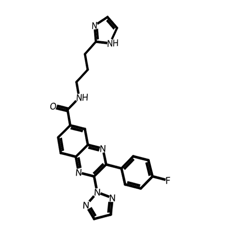 O=C(NCCCc1ncc[nH]1)c1ccc2nc(-n3nccn3)c(-c3ccc(F)cc3)nc2c1